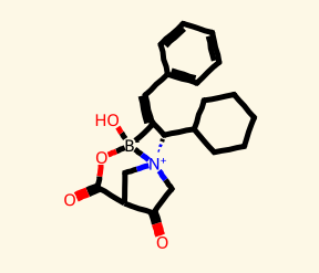 CC(C1CCCCC1)[N@+]12CC(=O)C(C1)C(=O)O[B-]2(O)/C=C/c1ccccc1